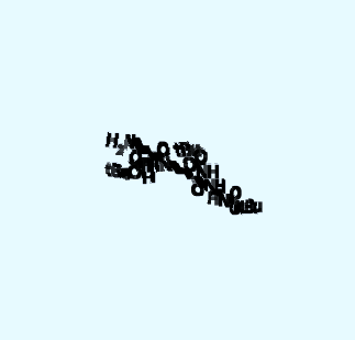 CC(C)(C)OC(=O)NCCNC(=O)[C@H](CCCCNC(=O)[C@H](CCCN)NC(=O)OC(C)(C)C)NC(=O)OC(C)(C)C